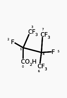 O=C(O)C(F)(C(F)(F)F)C(F)(C(F)(F)F)C(F)(F)F